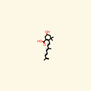 C=C(C)/C=C/C=C(C)/C=C/C1=C(C(=O)O)CC(O)CC1(C)C